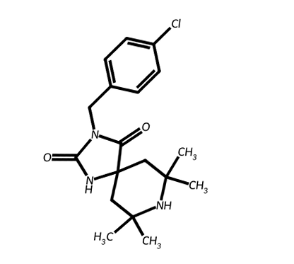 CC1(C)CC2(CC(C)(C)N1)NC(=O)N(Cc1ccc(Cl)cc1)C2=O